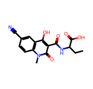 CCC(NC(=O)c1c(O)c2cc(C#N)ccc2n(C)c1=O)C(=O)O